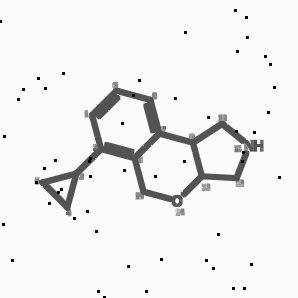 c1cc(C2CC2)c2c(c1)C1CNCC1OC2